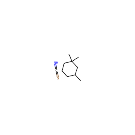 CC1CCCC(C)(C)C1.N=C=S